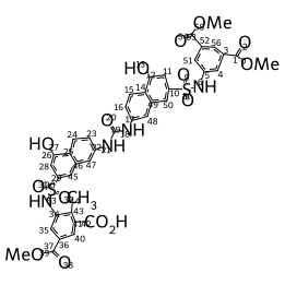 COC(=O)c1cc(NS(=O)(=O)c2cc(O)c3ccc(NC(=O)Nc4ccc5c(O)cc(S(=O)(=O)Nc6cc(C(=O)OC)cc(C(=O)O)c6C)cc5c4)cc3c2)cc(C(=O)OC)c1